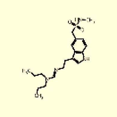 CCCN(C=NCCc1c[nH]c2ccc(CS(=O)(=O)NC)cc12)CCC